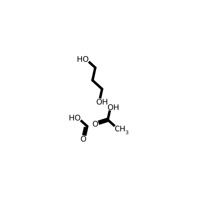 CC(=O)O.O=CO.OCCCO